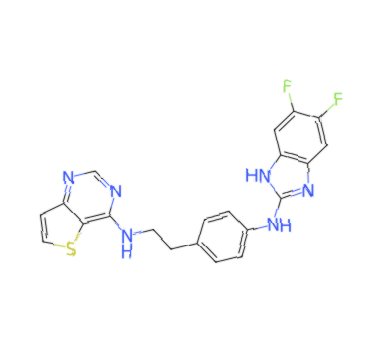 Fc1cc2nc(Nc3ccc(CCNc4ncnc5ccsc45)cc3)[nH]c2cc1F